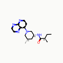 CC[C@@H](C)C(=O)N[C@@H]1C[C@H](C)CN(c2ccnc3nccnc23)C1